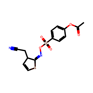 CC(=O)Oc1ccc(S(=O)(=O)ON=C2SC=CC2CC#N)cc1